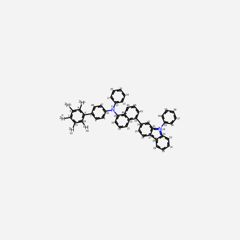 [2H]c1c([2H])c([2H])c(-c2ccc(N(c3ccccc3)c3cccc4c(-c5ccc6c7ccccc7n(-c7ccccc7)c6c5)cccc34)cc2)c([2H])c1[2H]